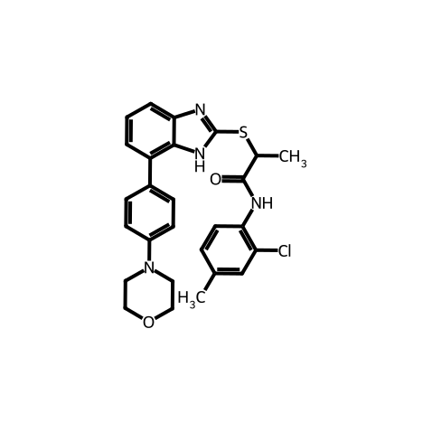 Cc1ccc(NC(=O)C(C)Sc2nc3cccc(-c4ccc(N5CCOCC5)cc4)c3[nH]2)c(Cl)c1